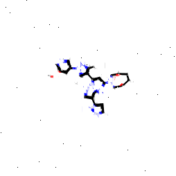 CCOc1cncc(-n2nc(C)c(-c3cc(N4CC5CCC(C4)O5)nc4c(-c5ccn[nH]5)cnn34)c2C)c1